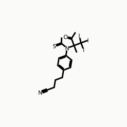 CC(=O)C(C)(N(C(C)=S)c1ccc(CCCC#N)cc1)C(I)(I)I